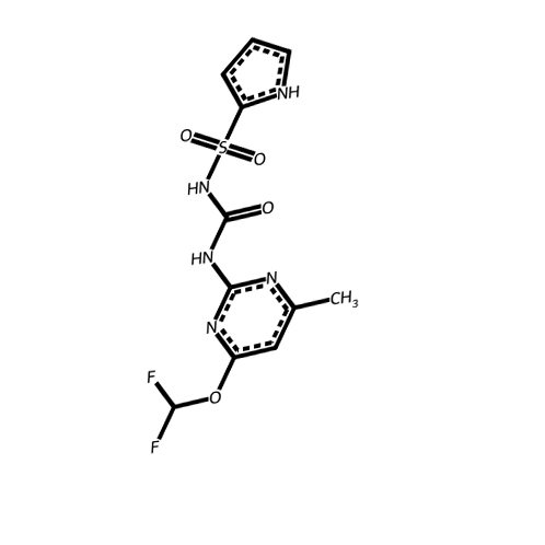 Cc1cc(OC(F)F)nc(NC(=O)NS(=O)(=O)c2ccc[nH]2)n1